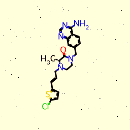 C[C@H]1C(=O)N(Cc2ccc3c(N)ncnc3c2)CCN1CC=Cc1ccc(Cl)s1